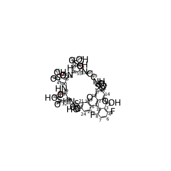 O=C(O)c1c(F)ccc(F)c1-c1c2ccc(=O)c3c-2oc2c(c(O)ccc12)S(=O)(=O)NC(CS(=O)(=O)O)C(=O)NC(CS(=O)(=O)O)C(=O)NC(CS(=O)(=O)O)C(=O)NCCNS3(=O)=O